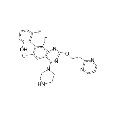 Oc1cccc(F)c1-c1c(Cl)cc2c(N3CCNCC3)nc(OCCc3ncccn3)nc2c1F